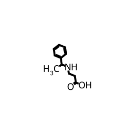 CC(NCCC(=O)O)c1ccccc1